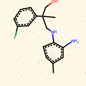 Cc1ccc(NCC(C)(CO)c2cccc(F)c2)c(N)c1